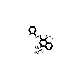 Nc1c(/N=N/c2ccccc2F)cc(S(=O)(=O)O)c2ccccc12